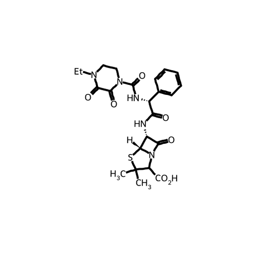 CCN1CCN(C(=O)N[C@@H](C(=O)N[C@@H]2C(=O)N3C(C(=O)O)C(C)(C)S[C@H]23)c2ccccc2)C(=O)C1=O